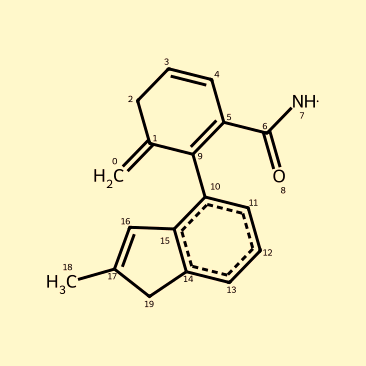 C=C1CC=CC(C([NH])=O)=C1c1cccc2c1C=C(C)C2